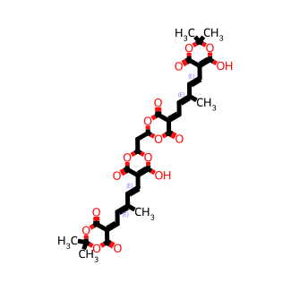 CC(/C=C/C1=C(O)OC(CC2OC(=O)C(=C/C=C(C)/C=C/C3=C(O)OC(C)(C)OC3=O)C(=O)O2)OC1=O)=C\C=C1C(=O)OC(C)(C)OC1=O